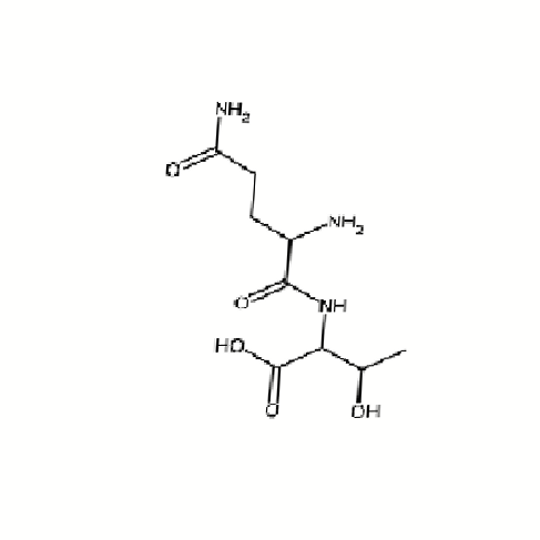 CC(O)C(NC(=O)C(N)CCC(N)=O)C(=O)O